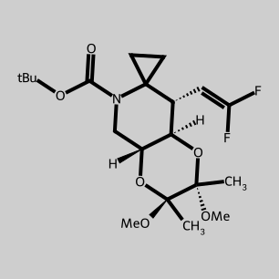 CO[C@@]1(C)O[C@@H]2[C@@H](C=C(F)F)C3(CC3)N(C(=O)OC(C)(C)C)C[C@H]2O[C@]1(C)OC